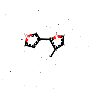 Cc1ccoc1-c1ccoc1